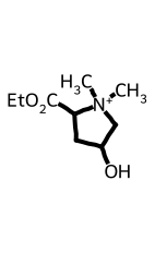 CCOC(=O)C1CC(O)C[N+]1(C)C